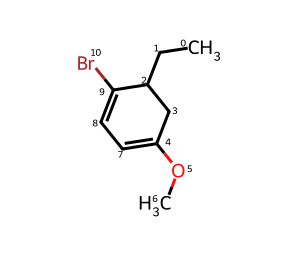 CCC1CC(OC)=CC=C1Br